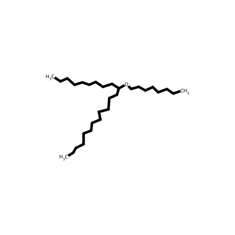 CCCCCCC[CH]OC(CCCCCCCCC)CCCCCCCCCCCC